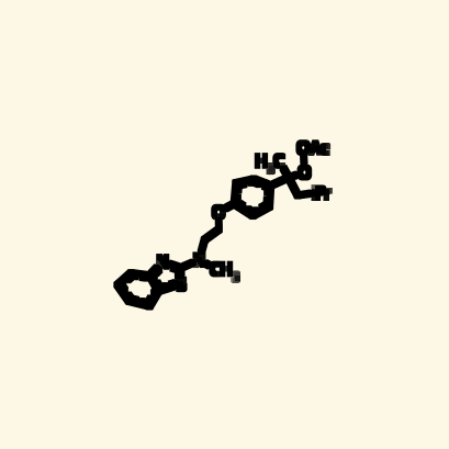 CC(=O)OOC(C)(CC(C)C)c1ccc(OCCN(C)c2nc3ccccc3s2)cc1